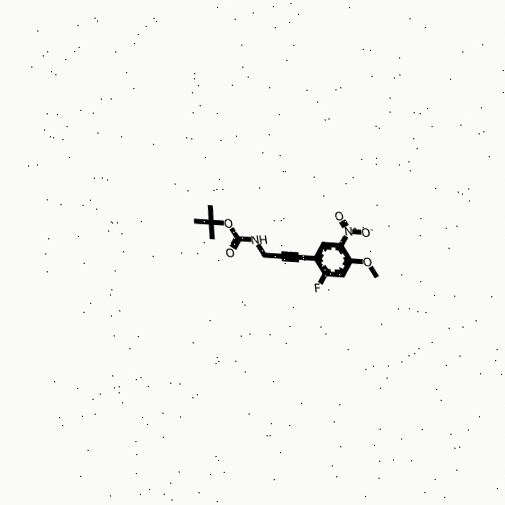 COc1cc(F)c(C#CCNC(=O)OC(C)(C)C)cc1[N+](=O)[O-]